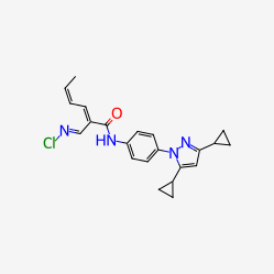 C/C=C\C=C(/C=NCl)C(=O)Nc1ccc(-n2nc(C3CC3)cc2C2CC2)cc1